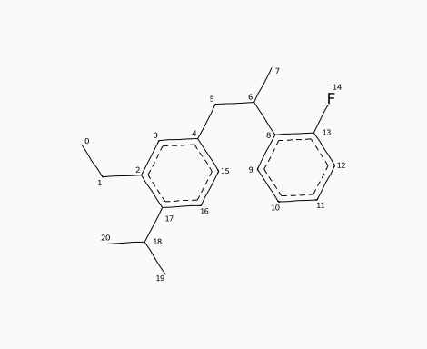 CCc1cc(CC(C)c2ccccc2F)ccc1C(C)C